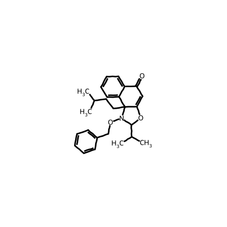 CC(C)CCC12C(=CC(=O)c3ccccc31)OC(C(C)C)N2OCc1ccccc1